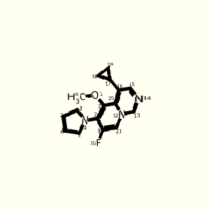 COC1=C(N2CCCC2)C(F)=CN2CN=CC(C3CC3)=C12